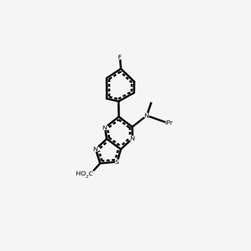 CC(C)N(C)c1nc2sc(C(=O)O)nc2nc1-c1ccc(F)cc1